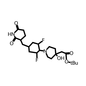 CC(C)(C)OC(=O)CC1(O)CCN(C2C(F)CC(CC3CCC(=O)NC3=O)CC2F)CC1